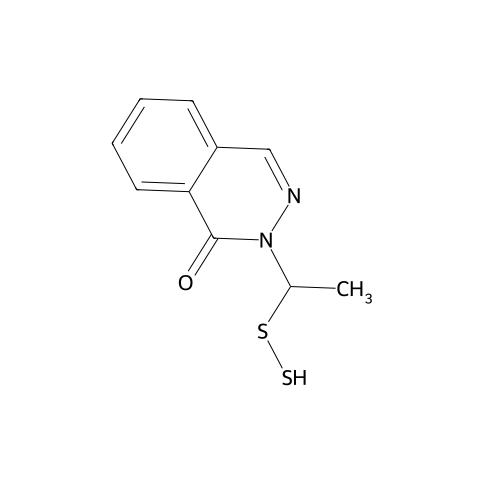 CC(SS)n1ncc2ccccc2c1=O